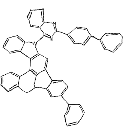 c1ccc(-c2ccc(-c3nc(-n4c5ccccc5c5c6c7c(cc54)-c4ccc(-c5ccccc5)cc4C7Cc4ccccc4-6)c4ccccc4n3)cc2)cc1